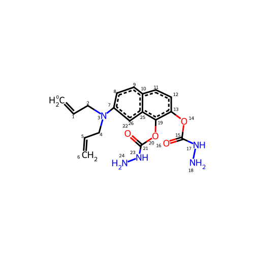 C=CCN(CC=C)c1ccc2ccc(OC(=O)NN)c(OC(=O)NN)c2c1